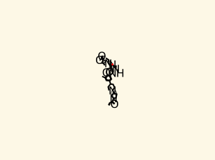 C=CC(=O)N1CC[C@H](N2CCC(c3cc(C)c4c(c3)Nc3ncnc(N5CCS(=O)(=O)CC5)c3CO4)CC2)C1